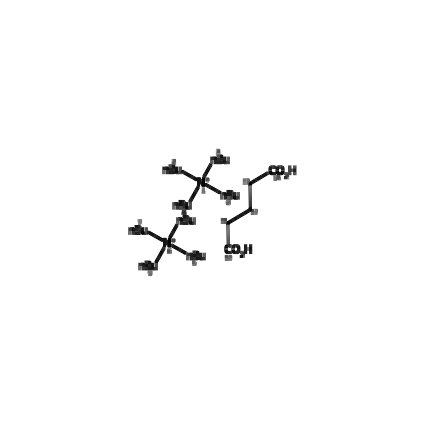 CCCC[N+](CCCC)(CCCC)CCCC.CCCC[N+](CCCC)(CCCC)CCCC.O=C(O)CCCC(=O)O